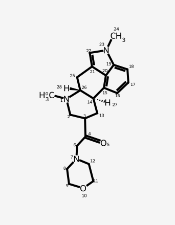 CN1CC(C(=O)CN2CCOCC2)C[C@@H]2c3cccc4c3c(cn4C)C[C@H]21